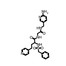 Nc1ccc(CNC(=O)CNC(=O)C(CCc2ccncc2)NS(=O)(=O)Cc2ccccc2)cn1